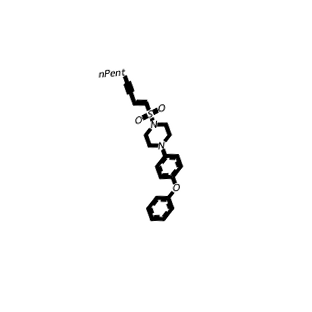 CCCCCC#CC=CS(=O)(=O)N1CCN(c2ccc(Oc3ccccc3)cc2)CC1